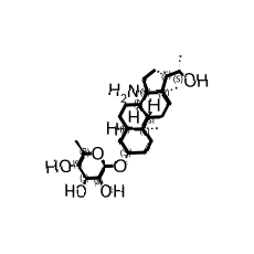 C[C@H](O)[C@H]1CC[C@]2(N)[C@@H]3CC[C@@H]4C[C@@H](OC5O[C@H](C)[C@@H](O)[C@H](O)[C@@H]5O)CC[C@]4(C)[C@H]3CC[C@]12C